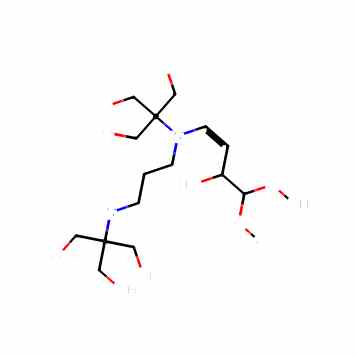 COC(OC)C(O)/C=C\N(CCCNC(CO)(CO)CO)C(CO)(CO)CO